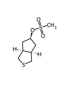 CS(=O)(=O)O[C@H]1C[C@H]2CSC[C@H]2C1